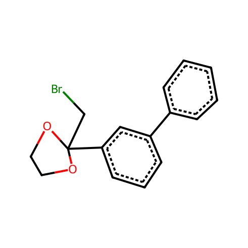 BrCC1(c2cccc(-c3ccccc3)c2)OCCO1